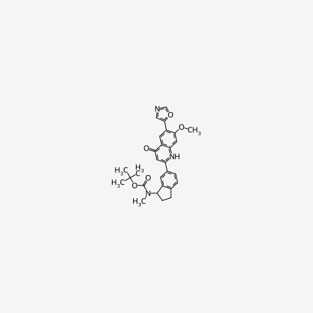 COc1cc2[nH]c(-c3ccc4c(c3)C(N(C)C(=O)OC(C)(C)C)CC4)cc(=O)c2cc1-c1cnco1